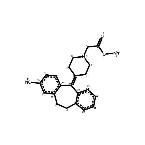 CCCOC(=O)CN1CCC(=C2c3ccc(C#N)cc3CCc3cccnc32)CC1